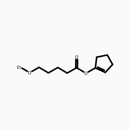 CCOCCCCC(=O)OC1=CCCC1